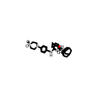 O=C(NC1CC1)[C@]12CC3CC(C1)[C@H](Nc1ccnc(Nc4ccc(N5CCS(=O)(=O)CC5)cc4)n1)C(C3)C2